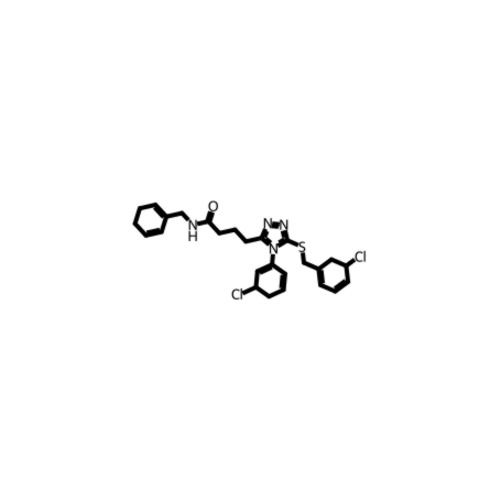 O=C(CCCc1nnc(SCC2=CC=CC(Cl)C2)n1C1=CC(Cl)CC=C1)NCC1=CCCC=C1